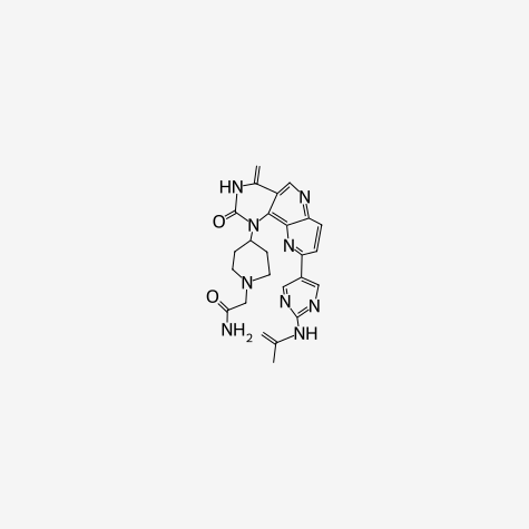 C=C(C)Nc1ncc(-c2ccc3ncc4c(c3n2)N(C2CCN(CC(N)=O)CC2)C(=O)NC4=C)cn1